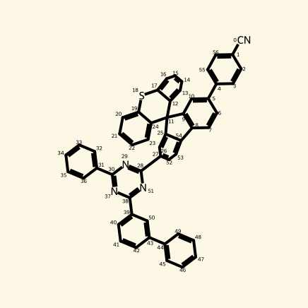 N#Cc1ccc(-c2ccc3c(c2)C2(c4ccccc4Sc4ccccc42)c2cc(-c4nc(-c5ccccc5)nc(-c5cccc(-c6ccccc6)c5)n4)ccc2-3)cc1